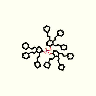 O=P(Oc1ccc(/C=C/c2ccccc2)c(/C=C/c2ccccc2)c1/C=C/c1ccccc1)(Oc1ccc(/C=C/c2ccccc2)c(/C=C/c2ccccc2)c1/C=C/c1ccccc1)Oc1ccc(/C=C/c2ccccc2)c(/C=C/c2ccccc2)c1/C=C/c1ccccc1